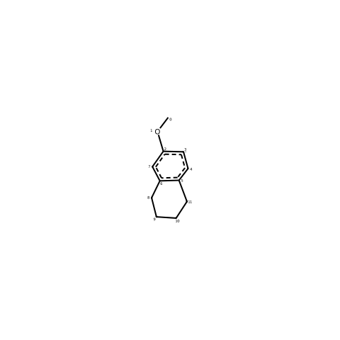 COc1[c]cc2c(c1)CCCC2